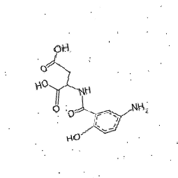 Nc1ccc(O)c(C(=O)NC(CC(=O)O)C(=O)O)c1